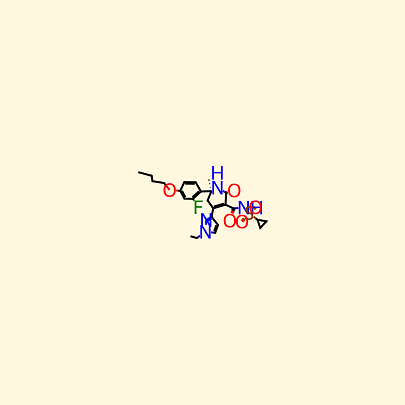 CCCCOc1ccc([C@]2(C)CC(c3ccn(CC)n3)=C(C(=O)NS(=O)(=O)C3CC3)C(=O)N2)c(F)c1